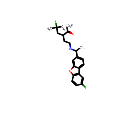 CC(C)(F)CC(CCNC(c1ccc2c(c1)oc1ccc(F)cc12)C(F)(F)F)C(=O)C(=O)O